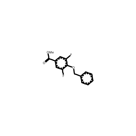 COC(=O)c1cc(F)c(OCc2ccccc2)c(F)c1